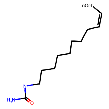 CCCCCCCC/C=C\CCCCCCCC[N]C(N)=O